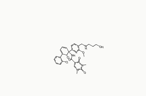 COc1nc(C2(NC(=O)c3cn(C)c(=O)n(C)c3=O)C=CC=C(c3ccccc3Cl)C2Cl)ccc1CNCCCO